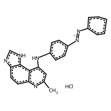 Cc1cc(Nc2ccc(/N=N/c3ccccc3)cc2)c2c(ccc3nc[nH]c32)n1.Cl